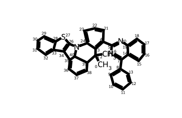 CC1(C)c2c(-c3nc(-c4ccccc4)c4ccccc4n3)cccc2N2c3sc4ccccc4c3C3=CC=CC1C32